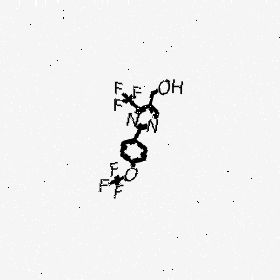 OCc1cnc(-c2ccc(OC(F)(F)F)cc2)nc1C(F)(F)F